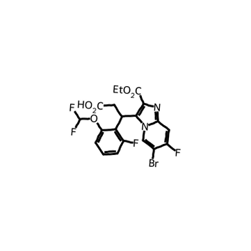 CCOC(=O)c1nc2cc(F)c(Br)cn2c1C(CC(=O)O)c1c(F)cccc1OC(F)F